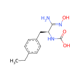 CCc1ccc(C[C@H](NC(=O)O)/C(N)=N/O)cc1